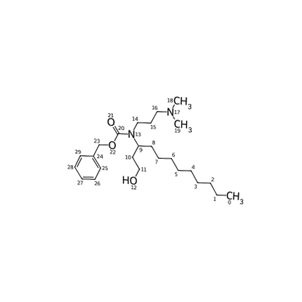 CCCCCCCCCC(CCO)N(CCCN(C)C)C(=O)OCc1ccccc1